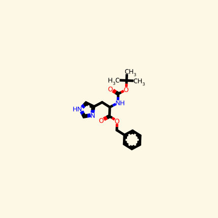 CC(C)(C)OC(=O)NC(Cc1c[nH]cn1)C(=O)OCc1ccccc1